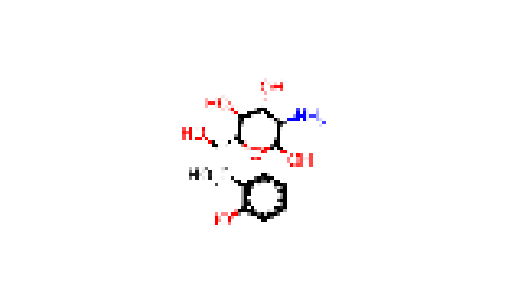 N[C@H]1C(O)O[C@H](CO)[C@@H](O)[C@@H]1O.O=C(O)c1ccccc1O